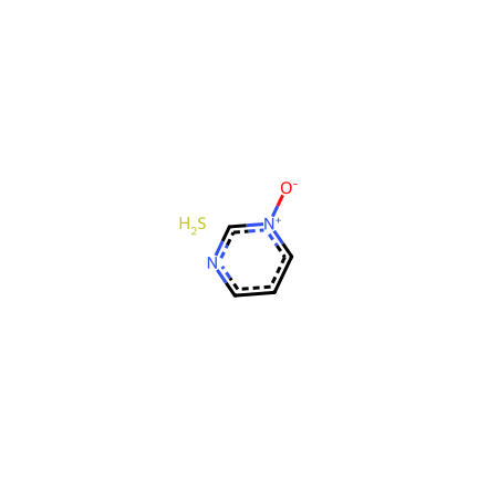 S.[O-][n+]1cccnc1